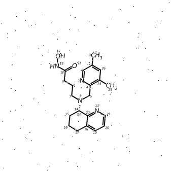 Cc1cnc(CN(CCCC(=O)NO)[C@H]2CCCc3cccnc32)c(C)c1